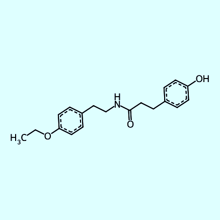 CCOc1ccc(CCNC(=O)CCc2ccc(O)cc2)cc1